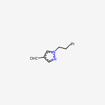 CC(C)CCn1cc(C=O)cn1